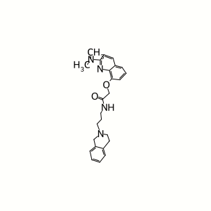 CN(C)c1ccc2cccc(OCC(=O)NCCCN3CCc4ccccc4C3)c2n1